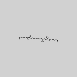 CC(C)CCCCCOC(=O)CCCCCCCCC(CCC(=O)OCCCCCC(C)C)C(C)C